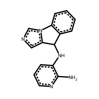 Nc1ncccc1NC1c2ccccc2-n2cncc21